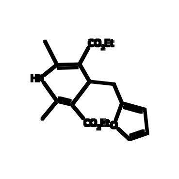 CCOC(=O)C1=C(C)NC(C)=C(C(=O)OCC)C1Cc1ccco1